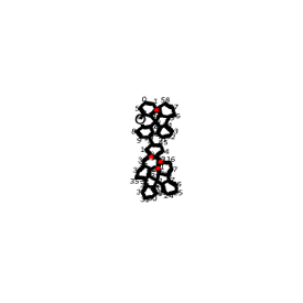 c1ccc2c(c1)Oc1ccc(-c3ccc(-c4ccc5c(c4)C4(c6ccccc6-5)c5ccccc5-c5ccc6ccccc6c54)cc3)cc1C21c2ccccc2-c2ccccc21